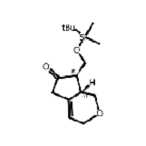 CC(C)(C)[Si](C)(C)OC[C@@H]1C(=O)CC2=CCOC[C@H]21